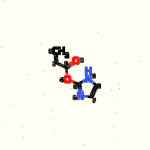 C=CC(=O)Oc1ncc[nH]1